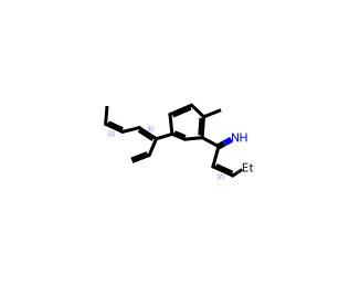 C=C/C(=C\C=C/C)c1ccc(C)c(C(=N)/C=C\CC)c1